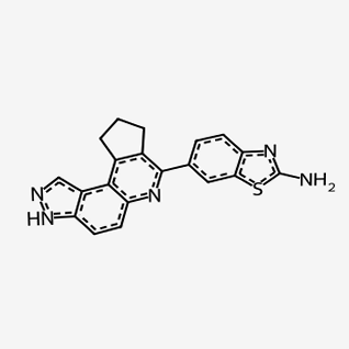 Nc1nc2ccc(-c3nc4ccc5[nH]ncc5c4c4c3CCC4)cc2s1